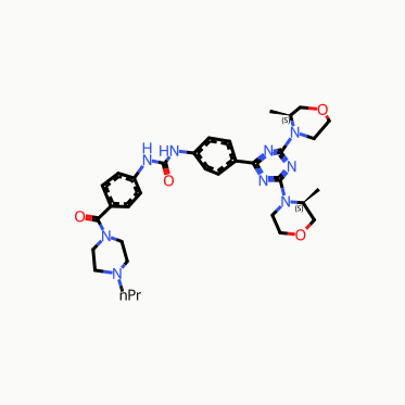 CCCN1CCN(C(=O)c2ccc(NC(=O)Nc3ccc(-c4nc(N5CCOC[C@@H]5C)nc(N5CCOC[C@@H]5C)n4)cc3)cc2)CC1